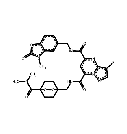 CN(C)C(=O)C12CCC(CNC(=O)c3cc(C(=O)NCc4ccc5oc(=O)n(C)c5c4)nc4c(F)cnn34)(CC1)CC2